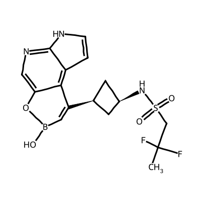 CC(F)(F)CS(=O)(=O)N[C@H]1C[C@@H](C2=CB(O)Oc3cnc4[nH]ccc4c32)C1